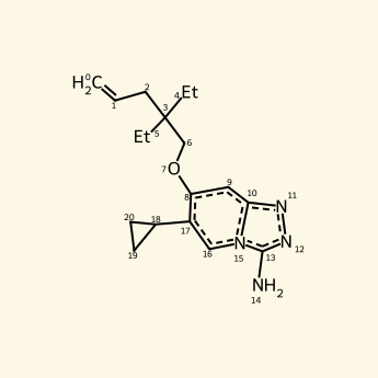 C=CCC(CC)(CC)COc1cc2nnc(N)n2cc1C1CC1